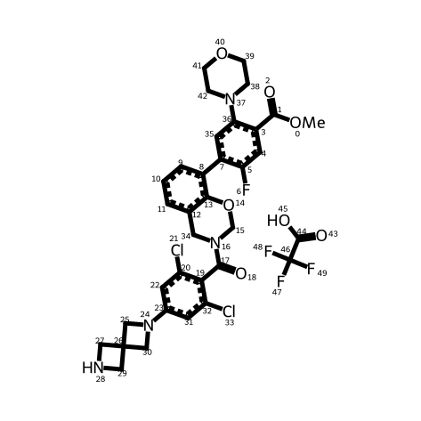 COC(=O)c1cc(F)c(-c2cccc3c2OCN(C(=O)c2c(Cl)cc(N4CC5(CNC5)C4)cc2Cl)C3)cc1N1CCOCC1.O=C(O)C(F)(F)F